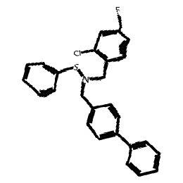 Fc1ccc(CN(Cc2ccc(-c3ccccc3)cc2)Sc2ccccc2)c(Cl)c1